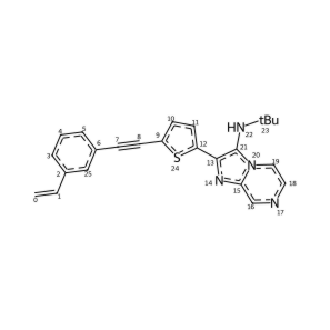 C=Cc1cccc(C#Cc2ccc(-c3nc4cnccn4c3NC(C)(C)C)s2)c1